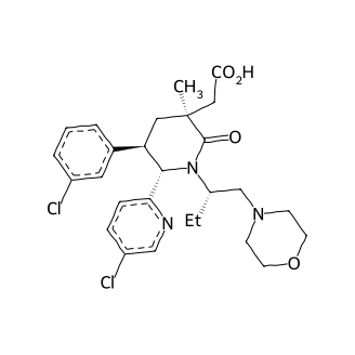 CC[C@@H](CN1CCOCC1)N1C(=O)[C@](C)(CC(=O)O)C[C@H](c2cccc(Cl)c2)[C@H]1c1ccc(Cl)cn1